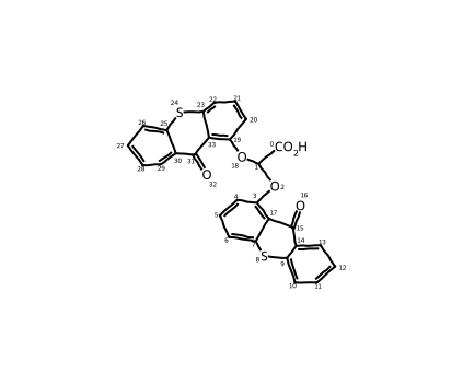 O=C(O)C(Oc1cccc2sc3ccccc3c(=O)c12)Oc1cccc2sc3ccccc3c(=O)c12